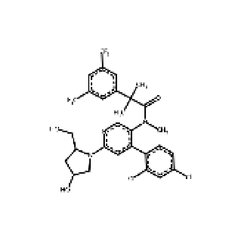 CN(C(=O)C(C)(C)c1cc(C(F)(F)F)cc(C(F)(F)F)c1)c1cnc(N2CC(O)CC2CO)cc1-c1ccc(Cl)cc1Cl